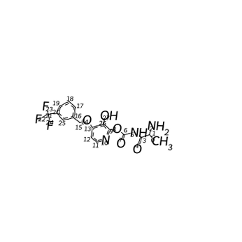 C[C@H](N)C(=O)NC(=O)Oc1nccc(OCc2cccc(C(F)(F)F)c2)c1O